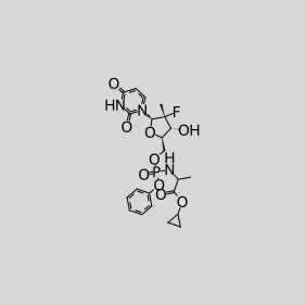 CC(NP(=O)(OC[C@H]1O[C@@H](n2ccc(=O)[nH]c2=O)[C@](C)(F)[C@@H]1O)Oc1ccccc1)C(=O)OC1CC1